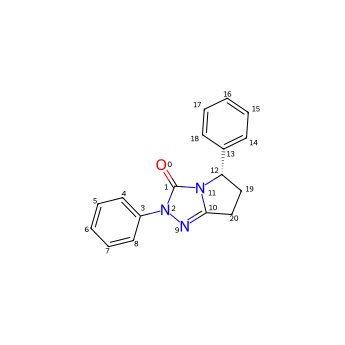 O=c1n(-c2ccccc2)nc2n1[C@H](c1ccccc1)CC2